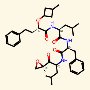 CC(C)C[C@H](NC(=O)[C@H](CCc1ccccc1)OC1CC(C)C1)C(=O)N[C@@H](Cc1ccccc1)C(=O)N[C@@H](CC(C)C)C(=O)[C@@]1(C)CO1